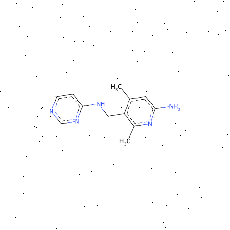 Cc1cc(N)nc(C)c1CNc1c[c]ncn1